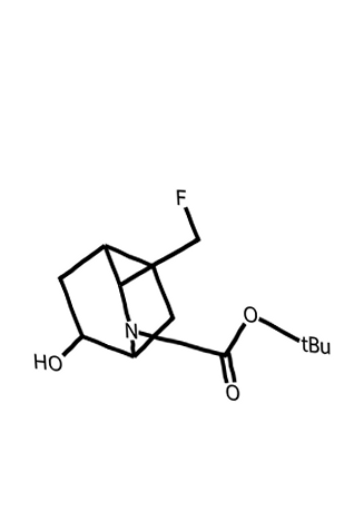 CC(C)(C)OC(=O)N1C2CCC(CC2O)C1CF